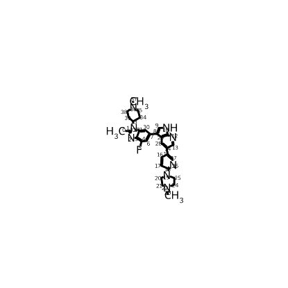 Cc1nc2c(F)cc(-c3c[nH]c4ncc(-c5ccc(N6CCN(C)CC6)nc5)cc34)cc2n1C1CCN(C)CC1